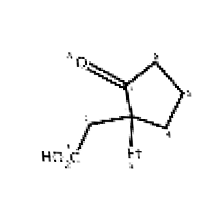 CCC1(CC(=O)O)CCCC1=O